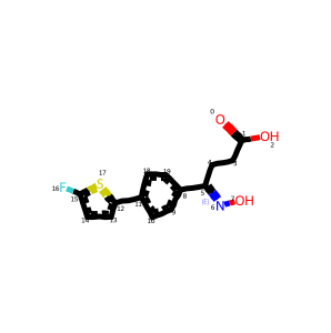 O=C(O)CC/C(=N\O)c1ccc(-c2ccc(F)s2)cc1